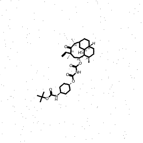 C=C[C@]1(C)C[C@@H](OC(=O)NC(=O)O[C@H]2CC[C@H](NC(=O)OC(C)(C)C)CC2)[C@]2(C)[C@H](C)CC[C@H]3CCC(C[C@@H]32)[C@@H](C)C1=O